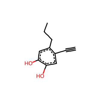 C#Cc1cc(O)c(O)cc1CCC